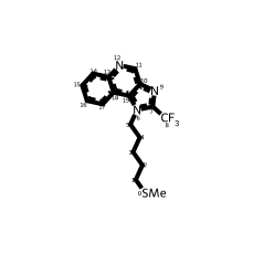 CSCCCCCn1c(C(F)(F)F)nc2cnc3ccccc3c21